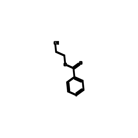 N#CCCOC(=O)c1cc[c]cc1